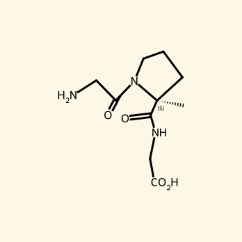 C[C@@]1(C(=O)NCC(=O)O)CCCN1C(=O)CN